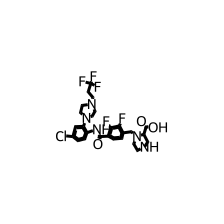 O=C(Nc1ccc(Cl)cc1N1CCN(CCC(F)(F)F)CC1)c1ccc(CN2CCNCC2C(=O)O)c(F)c1F